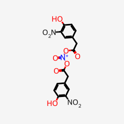 O=C(Cc1ccc(O)c([N+](=O)[O-])c1)O[N+](=O)OC(=O)Cc1ccc(O)c([N+](=O)[O-])c1